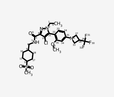 CCn1nc(C(=O)NCC2CCC(S(C)(=O)=O)CC2)c(Cl)c1-c1ccc(N2CC(C(F)(F)F)C2)cc1OC